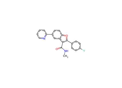 CNC(=O)c1c(-c2ccc(F)cc2)oc2ccc(-c3ccccn3)cc12